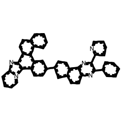 c1ccc(-c2nc3ccc4cc(-c5ccc6c(c5)c5c7ccccc7ccc5c5nc7ccccn7c65)ccc4c3nc2-c2ccccn2)cc1